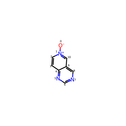 [O-][n+]1ccc2ncncc2c1